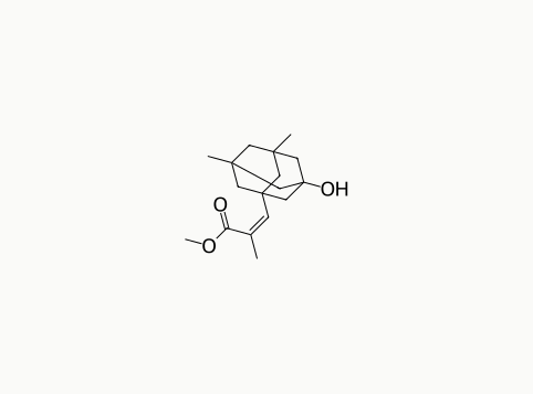 COC(=O)C(C)=CC12CC3(C)CC(C)(CC(O)(C3)C1)C2